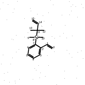 C=Cc1ccccc1[Si](C)(C)C(C)(C)C=C